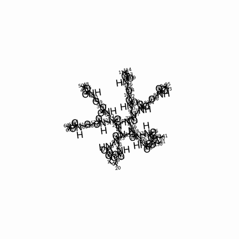 CCCOOC(=O)NCCN(CCNC(=O)OOCCC)C(=O)CN1CCN(CC(=O)N(CCNC(=O)OCCOCCNC(=O)OC(C)(C)C)CCNC(=O)OCCOCCNC(=O)OC(C)(C)C)CCN(CC(=O)N(CCNC(=O)OCCOCCNC(=O)OC(C)(C)C)CCNC(=O)OCCOCCNC(=O)OC(C)(C)C)CCN(CC(=O)N(CCNC(=O)OOCCC)CCNC(=O)OOCCC)CC1